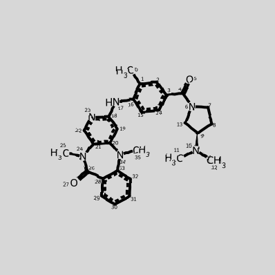 Cc1cc(C(=O)N2CC[C@@H](N(C)C)C2)ccc1Nc1cc2c(cn1)N(C)C(=O)c1ccccc1N2C